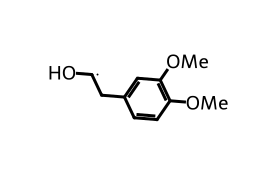 COc1ccc(C[CH]O)cc1OC